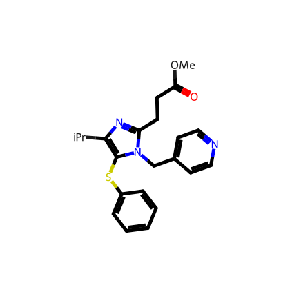 COC(=O)CCc1nc(C(C)C)c(Sc2ccccc2)n1Cc1ccncc1